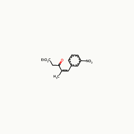 CCOC(=O)CC(=O)C(C)=Cc1cccc([N+](=O)[O-])c1